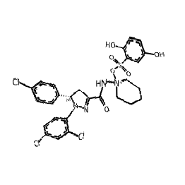 O=C(N[N+]1(OS(=O)(=O)c2cc(O)ccc2O)CCCCC1)C1=NN(c2ccc(Cl)cc2Cl)[C@H](c2ccc(Cl)cc2)C1